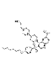 CCCCCCCOc1ccc(S(=O)(=O)c2cnc3ccc([S+](C)[O-])cc3c2N2CCC(N3CCN(CCO)CC3)CC2)cc1